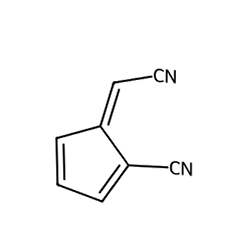 N#CC=C1C=CC=C1C#N